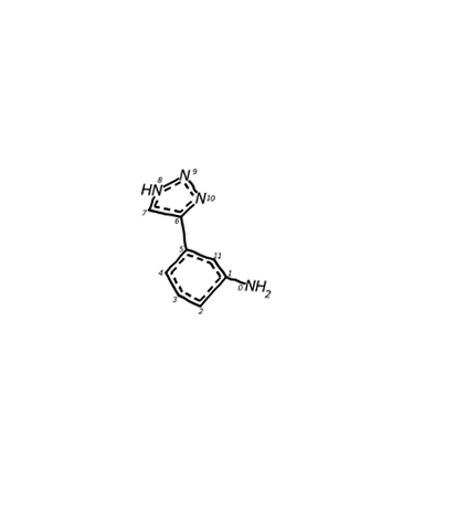 Nc1cccc(-c2c[nH]nn2)c1